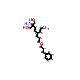 NC(CO)(CO)CCC(=C/CCOCCCc1ccccc1)/C=C/C(F)(F)F